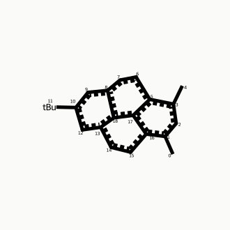 Cc1cc(C)c2ccc3cc(C(C)(C)C)cc4ccc1c2c43